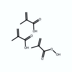 C=C(C)C(=O)O.C=C(C)C(=O)O.C=C(C)C(=O)OO